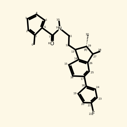 Cc1ccccc1C(=O)N(C)CCC1c2ccc(-c3ccc(F)cc3)cc2C(C)[C@H]1C